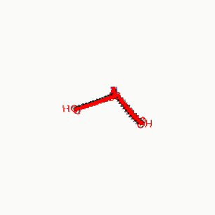 CN(C)Cc1cc(OCCCCCCCCCC=CCC=CCCCCCCCC(=O)O)cc(OCCCCCCCCCC=CCC=CCCCCCCCC(=O)O)c1